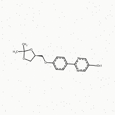 CCCCCCCCc1cnc(-c2ccc(OC[C@H]3COC(C)(C)O3)cc2)nc1